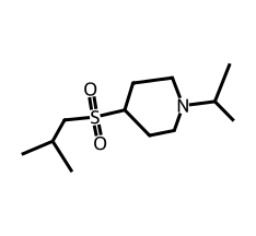 CC(C)CS(=O)(=O)C1CCN(C(C)C)CC1